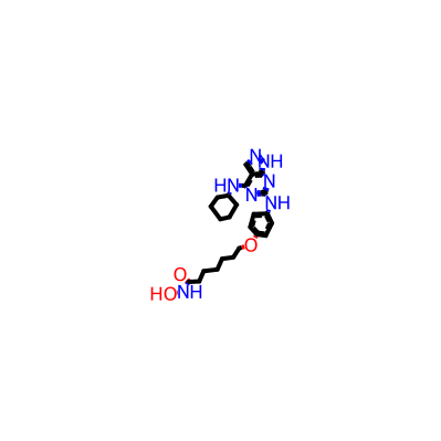 O=C(CCCCCCOc1ccc(Nc2nc(NC3CCCCC3)c3cn[nH]c3n2)cc1)NO